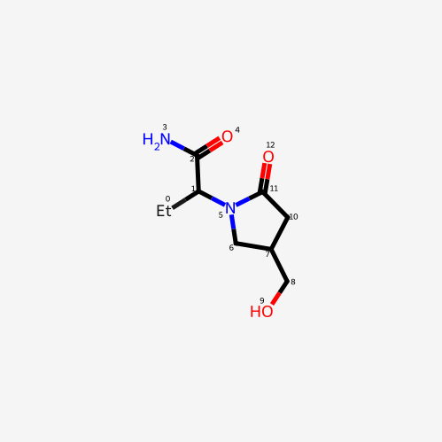 CCC(C(N)=O)N1CC(CO)CC1=O